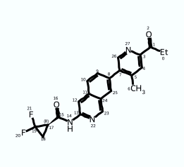 CCC(=O)c1cc(C)c(-c2ccc3cc(NC(=O)[C@H]4CC4(F)F)ncc3c2)cn1